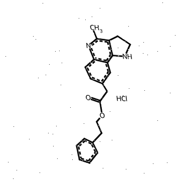 Cc1nc2ccc(CC(=O)OCCc3ccccc3)cc2c2c1CCN2.Cl